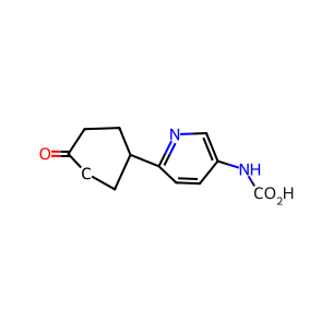 O=C1CCC(c2ccc(NC(=O)O)cn2)CC1